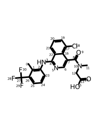 Cc1c(Nc2ncc(C(=O)N(C)CC(=O)O)c3c(Cl)cccc23)cccc1C(F)(F)F